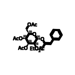 CCOC(=O)C(=Cc1ccccc1)O[C@H]1O[C@@H](COC(C)=O)[C@@H](OC(C)=O)[C@@H](OC(C)=O)[C@@H]1OC(C)=O